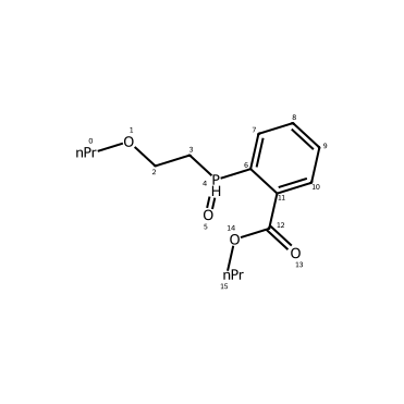 CCCOCC[PH](=O)c1ccccc1C(=O)OCCC